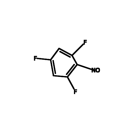 O=Nc1c(F)cc(F)cc1F